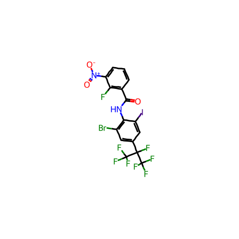 O=C(Nc1c(Br)cc(C(F)(C(F)(F)F)C(F)(F)F)cc1I)c1cccc([N+](=O)[O-])c1F